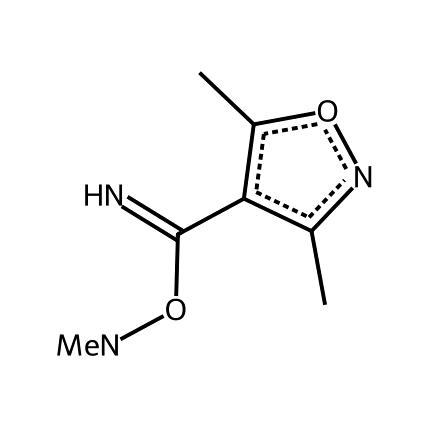 CNOC(=N)c1c(C)noc1C